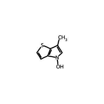 Cc1cn(O)c2ccsc12